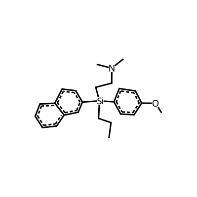 CCC[Si](CCN(C)C)(c1ccc(OC)cc1)c1ccc2ccccc2c1